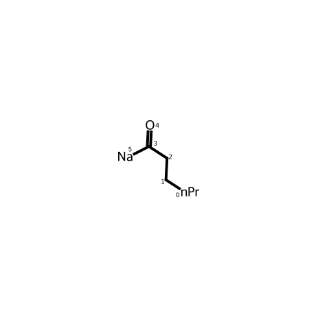 CCCCC[C](=O)[Na]